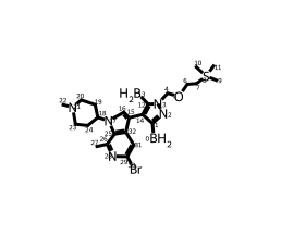 Bc1nn(COCCS(C)(C)C)c(B)c1-c1cn(C2CCN(C)CC2)c2c(C)nc(Br)cc12